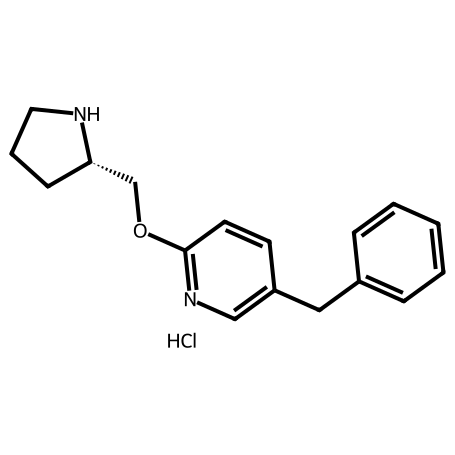 Cl.c1ccc(Cc2ccc(OC[C@@H]3CCCN3)nc2)cc1